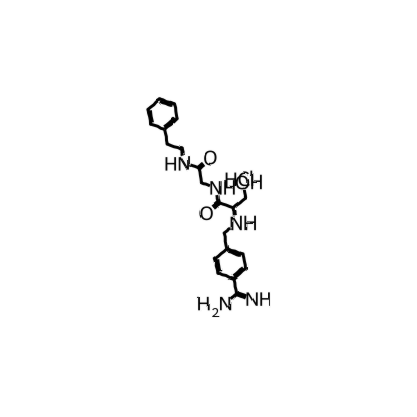 Cl.N=C(N)c1ccc(CNC(CO)C(=O)NCC(=O)NCCc2ccccc2)cc1